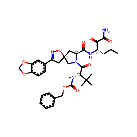 CCC[C@H](NC(=O)[C@@H]1C[C@]2(CC(c3ccc4c(c3)OCO4)=NO2)CN1C(=O)[C@@H](NC(=O)OCc1ccccc1)C(C)(C)C)C(=O)C(N)=O